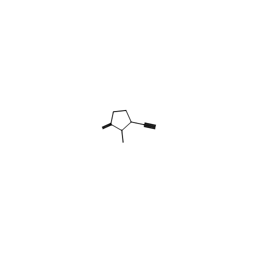 C#CC1CCC(=O)C1C